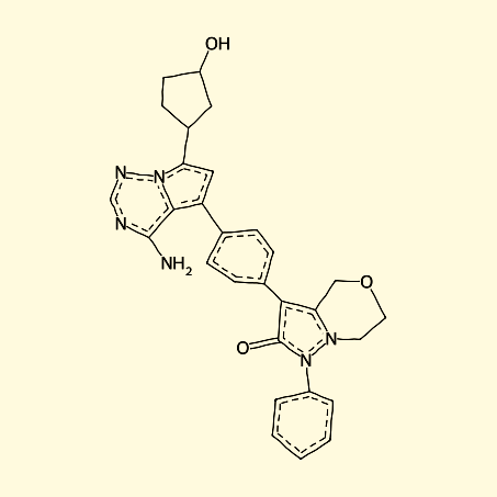 Nc1ncnn2c(C3CCC(O)C3)cc(-c3ccc(-c4c5n(n(-c6ccccc6)c4=O)CCOC5)cc3)c12